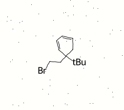 CC(C)(C)C1(CCBr)C=CC=CC1